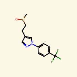 C[S+]([O-])CCc1cnn(-c2ccc(C(F)(F)F)cc2)c1